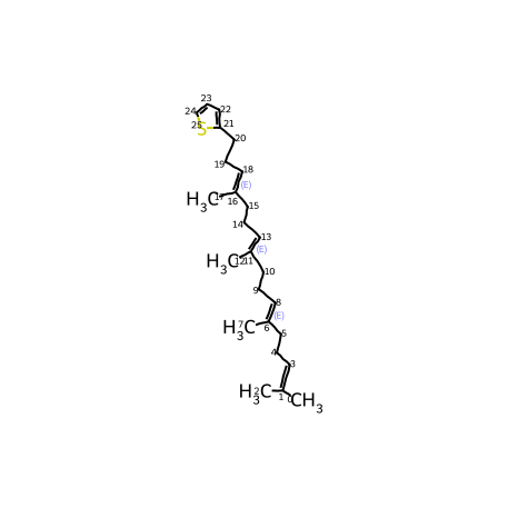 CC(C)=CCC/C(C)=C/CC/C(C)=C/CC/C(C)=C/CCc1cccs1